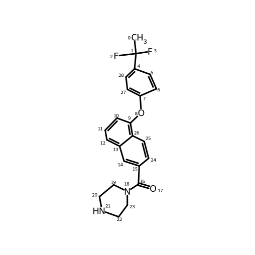 CC(F)(F)c1ccc(Oc2cccc3cc(C(=O)N4CCNCC4)ccc23)cc1